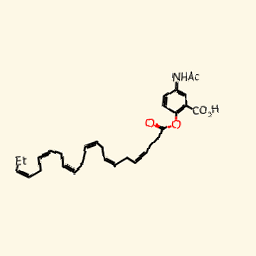 CC/C=C\C/C=C\C/C=C\C/C=C\C/C=C\C/C=C\CCC(=O)Oc1ccc(NC(C)=O)cc1C(=O)O